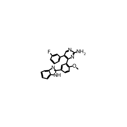 COc1ccc(-c2nc3ccccc3[nH]2)cc1-c1nc(N)ncc1-c1cccc(F)c1